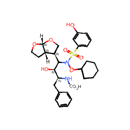 O=C(O)N[C@@H](Cc1ccccc1)[C@@H](O)C([C@@H]1CO[C@H]2OCC[C@H]21)N(OC1CCCCC1)S(=O)(=O)c1cccc(O)c1